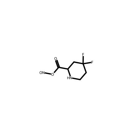 O=NOC(=O)C1CC(F)(F)CCN1